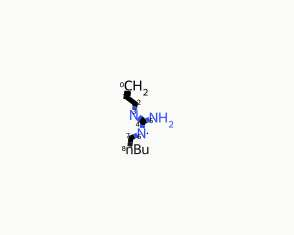 C=CCN=C(N)[N]CCCCC